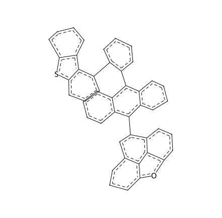 c1ccc(-c2cccc3sc4ccccc4c23)c(-c2c3ccccc3c(-c3cc4cccc5oc6cccc3c6c45)c3ccccc23)c1